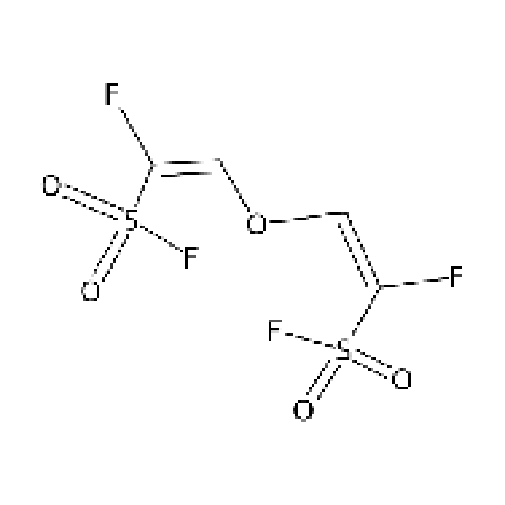 O=S(=O)(F)C(F)=COC=C(F)S(=O)(=O)F